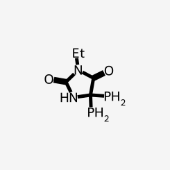 CCN1C(=O)NC(P)(P)C1=O